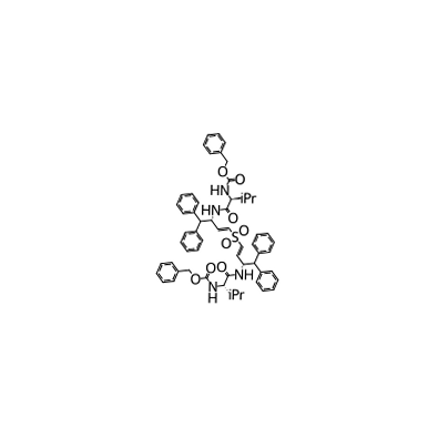 CC(C)[C@H](NC(=O)OCc1ccccc1)C(=O)N[C@H](C=CS(=O)(=O)C=C[C@@H](NC(=O)[C@@H](NC(=O)OCc1ccccc1)C(C)C)C(c1ccccc1)c1ccccc1)C(c1ccccc1)c1ccccc1